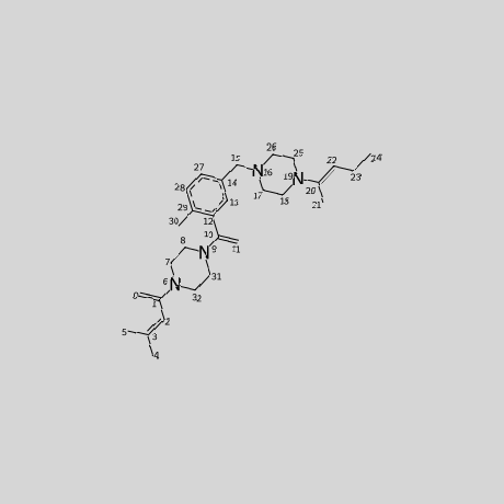 C=C(C=C(C)C)N1CCN(C(=C)c2cc(CN3CCN(/C(C)=C/CC)CC3)ccc2C)CC1